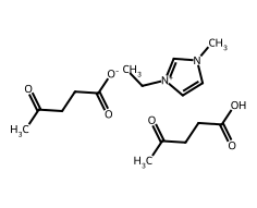 CC(=O)CCC(=O)O.CC(=O)CCC(=O)[O-].CC[n+]1ccn(C)c1